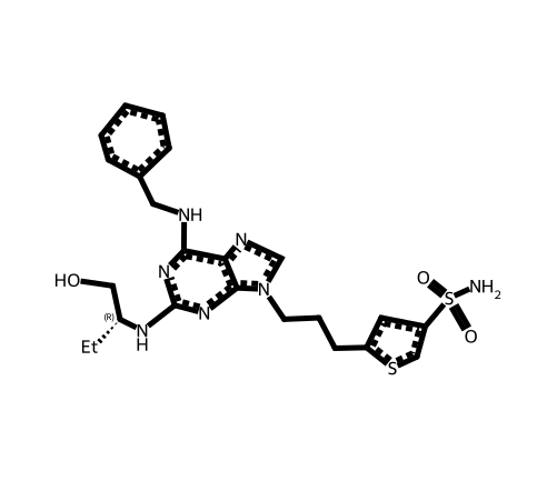 CC[C@H](CO)Nc1nc(NCc2ccccc2)c2ncn(CCCc3cc(S(N)(=O)=O)cs3)c2n1